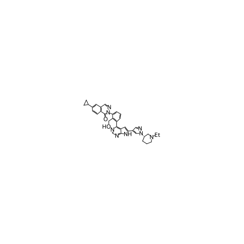 CCN1CCC[C@H](n2cc(-c3cc4c(-c5cccc(-n6ncc7cc(C8CC8)ccc7c6=O)c5CO)ncnc4[nH]3)cn2)C1